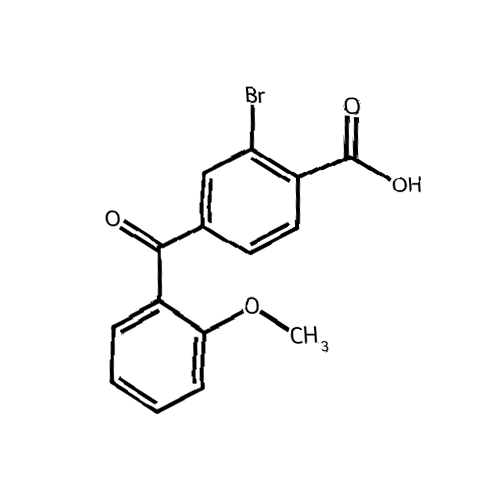 COc1ccccc1C(=O)c1ccc(C(=O)O)c(Br)c1